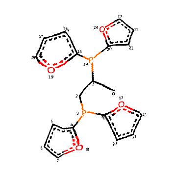 CC(CP(c1ccco1)c1ccco1)P(c1ccco1)c1ccco1